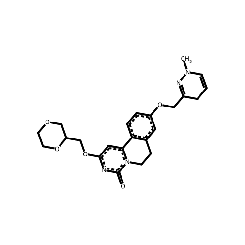 CN1C=CCC(COc2ccc3c(c2)CCn2c-3cc(OCC3COCCO3)nc2=O)=N1